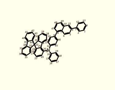 c1ccc(-c2ccc3c(-c4ccc(N(c5ccccc5)c5cccc6c5-c5ccccc5C65c6ccccc6-c6ccccc65)cc4)cccc3c2)cc1